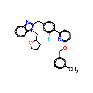 Cc1cccc(COc2cccc(-c3ccc(Cc4nc5ccccc5n4CC4CCCO4)cc3F)n2)c1